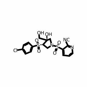 N#Cc1ncccc1S(=O)(=O)N1C[C@H](S(=O)(=O)c2ccc(Cl)cc2)[C@](O)(CO)C1